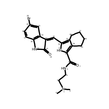 CN(C)CCNC(=O)c1[nH]c(C=C2C(=O)Nc3ccc(Br)cc32)c2c1CCCC2